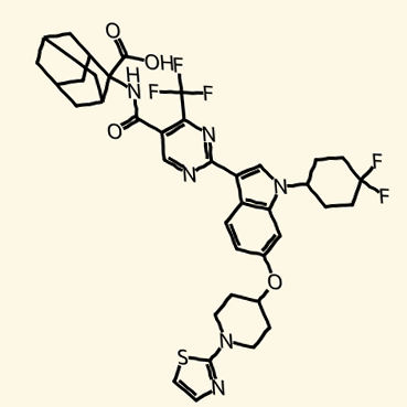 O=C(NC1(C(=O)O)C2CC3CC(C2)CC1C3)c1cnc(-c2cn(C3CCC(F)(F)CC3)c3cc(OC4CCN(c5nccs5)CC4)ccc23)nc1C(F)(F)F